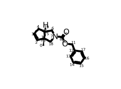 C[C@@]12C=CC[C@@H]1CN(C(=O)OCc1ccccc1)C2